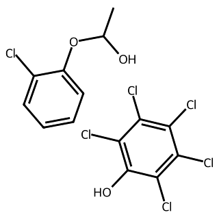 CC(O)Oc1ccccc1Cl.Oc1c(Cl)c(Cl)c(Cl)c(Cl)c1Cl